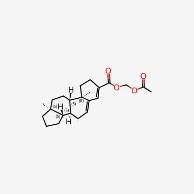 CC(=O)OCOC(=O)C1=CC2=CC[C@H]3[C@@H]4CCC[C@@]4(C)CC[C@@H]3[C@@]2(C)CC1